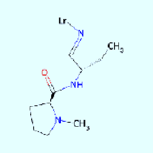 CC[C@@H](/C=[N]/[Lr])NC(=O)[C@@H]1CCCN1C